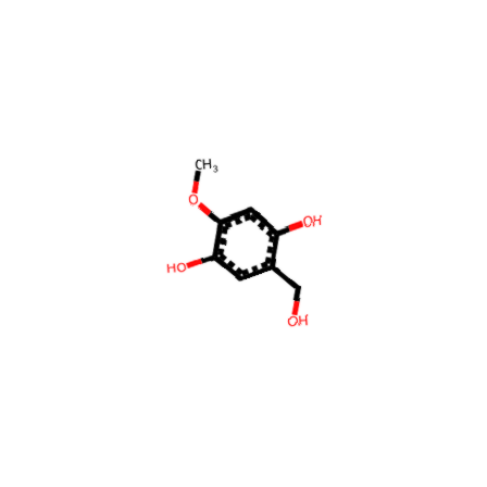 COc1cc(O)c(CO)cc1O